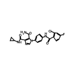 NC(=O)c1c(C(=O)NC2CC2)ncn1-c1ccc(NC(=O)c2ccc(F)cc2Cl)cc1